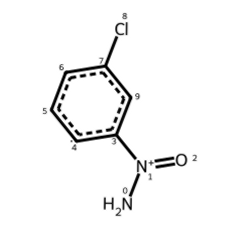 N[N+](=O)c1[c]ccc(Cl)c1